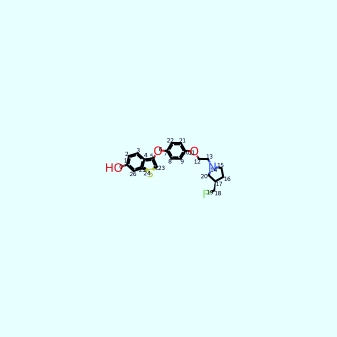 Oc1ccc2c(Oc3ccc(OCCN4CC[C@@H](CF)C4)cc3)[c]sc2c1